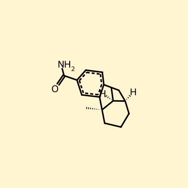 C[C@H]1[C@@H]2CCC[C@@]1(C)c1cc(C(N)=O)ccc1C2